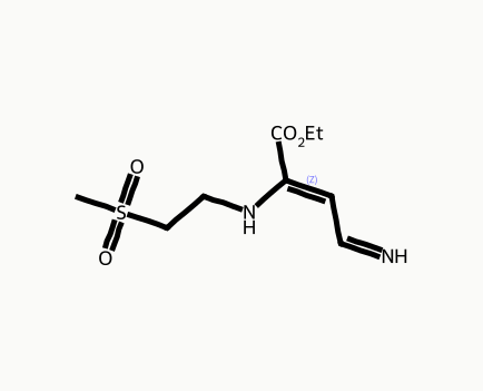 CCOC(=O)/C(=C/C=N)NCCS(C)(=O)=O